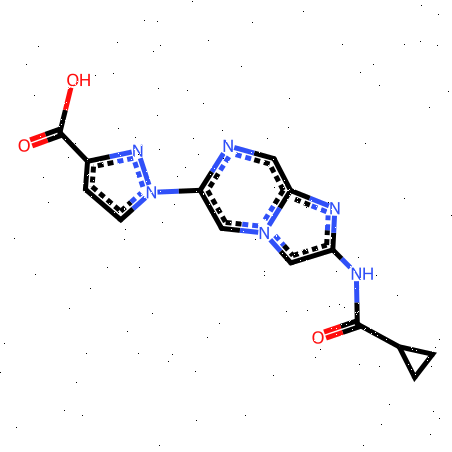 O=C(O)c1ccn(-c2cn3cc(NC(=O)C4CC4)nc3cn2)n1